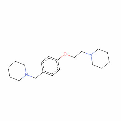 c1cc(OCCN2CCCCC2)ccc1CN1CCCCC1